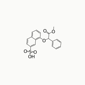 COC(=O)C(Oc1cccc2ccc(S(=O)(=O)O)cc12)c1ccccc1